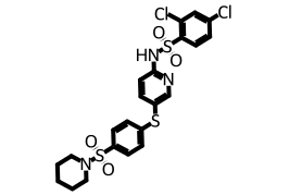 O=S(=O)(Nc1ccc(Sc2ccc(S(=O)(=O)N3CCCCC3)cc2)cn1)c1ccc(Cl)cc1Cl